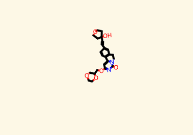 O=c1nc(OCC2COCCO2)cc2n1CCc1cc(C#CC3(O)CCOCC3)ccc1-2